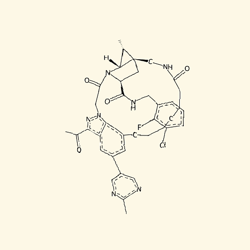 CC(=O)c1nn2c3c(cc(-c4cnc(C)nc4)cc13)CCCCCCC(=O)NC[C@@]13C[C@@H](C(=O)NCc4cccc(Cl)c4F)N(C(=O)C2)[C@@H]1[C@@H]3C